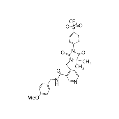 COc1ccc(CNC(=O)c2cnccc2CN2C(=O)N(c3ccc(S(=O)(=O)C(F)(F)F)cc3)C(=O)C2(C)C)cc1